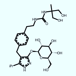 CC(C)c1[nH]nc(O[C@@H]2O[C@H](CO)[C@@H](O)[C@H](O)[C@H]2O)c1Cc1ccc(CCNC(=O)NC(C)(CO)CO)cc1